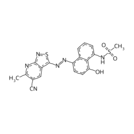 Cc1nc2nsc(/N=N/c3ccc(O)c4c(NS(C)(=O)=O)cccc34)c2cc1C#N